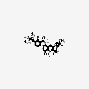 Cc1nnc(N[C@H](C)c2cccc(C(F)(F)C(C)(C)O)c2F)c2cc(N3CC(C)(O)C3)c(C(F)(F)F)nc12